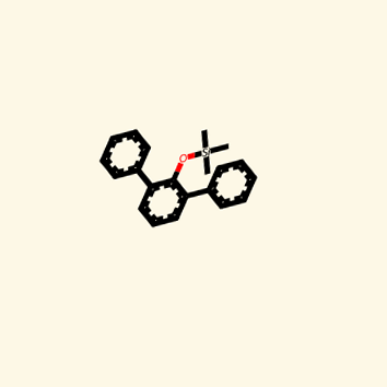 C[Si](C)(C)Oc1c(-c2ccccc2)cccc1-c1ccccc1